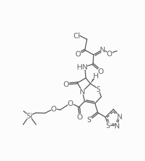 CO/N=C(/C(=O)CCl)C(=O)NC1C(=O)N2C(C(=O)OCOCC[Si](C)(C)C)=C(C(=S)c3cnns3)CS[C@@H]12